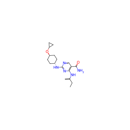 C=C(CC)Nc1nc(N[C@H]2CC[C@H](OC3CC3)CC2)ncc1C(N)=O